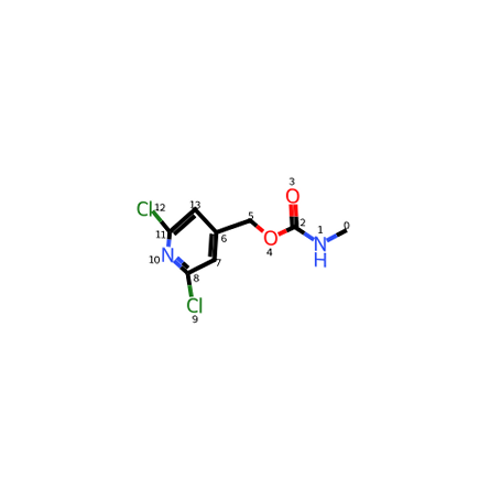 CNC(=O)OCc1cc(Cl)nc(Cl)c1